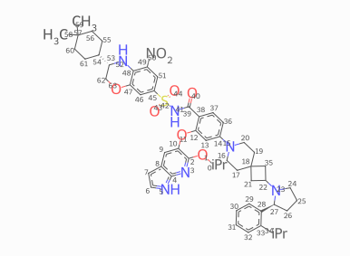 CC(C)Oc1nc2[nH]ccc2cc1Oc1cc(N2CCC3(CC2)CC(N2CCC[C@H]2c2ccccc2C(C)C)C3)ccc1C(=O)NS(=O)(=O)c1cc2c(c([N+](=O)[O-])c1)N[C@@H](C1CCC(C)(C)CC1)CO2